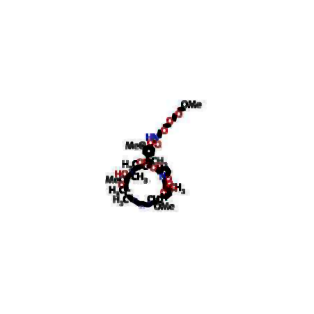 COCCOCCOCCOCCNC(=O)O[C@@H]1CC[C@@H](C[C@@H](C)[C@@H]2C[C@@H](O)[C@H](C)/C=C(\C)[C@@H](O)[C@@H](OC)C(=O)C(C)C[C@H](C)/C=C/C=C/C=C(\C)[C@@H](OC)C[C@@H]3CC[C@@H](C)[C@@](O)(O3)C(=O)C(=O)N3CCCC[C@H]3C(=O)O2)C[C@H]1OC